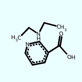 CCNCC.O=C(O)c1cccnc1